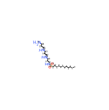 CCCCCCCCCCCCS(=O)(=O)NCCCNCCCNCCCN